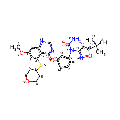 COc1cc(SC2CCOCC2)c2c(Oc3cccc(N(C(N)=O)c4cc(C(C)(C)C)on4)c3)ncnc2c1